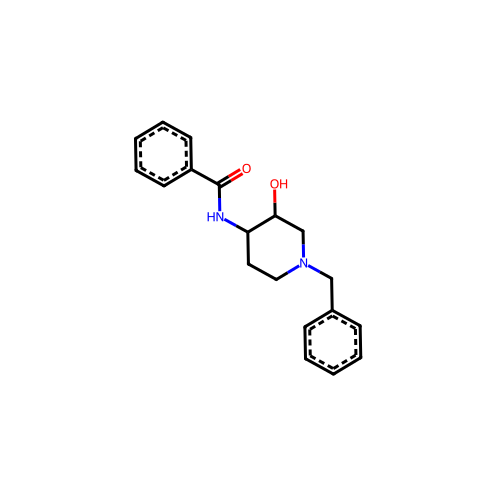 O=C(NC1CCN(Cc2ccccc2)CC1O)c1ccccc1